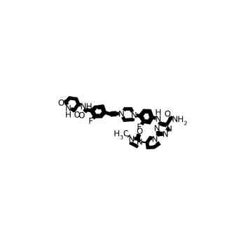 CN1CCN([C@@H]2CCCN(c3nnc(C(N)=O)c(Nc4ccc(N5CCN(C#Cc6ccc(C(=O)NC7CCC(=O)NC7=O)c(F)c6)CC5)c(F)c4)n3)C2)C1=O